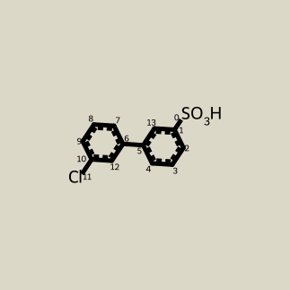 O=S(=O)(O)c1cccc(-c2cccc(Cl)c2)c1